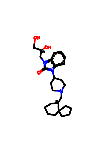 O=c1n(C[C@@H](O)CO)c2ccccc2n1C1CCN(C[C@@H]2CCCCC23CCCC3)CC1